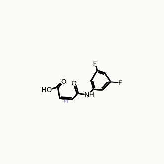 O=C(O)/C=C\C(=O)Nc1cc(F)cc(F)c1